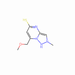 COCC1=CC(S)=NC2=CN(C)NN12